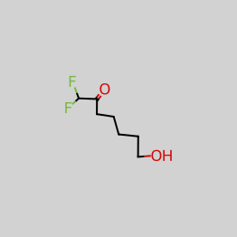 O=C(CCCCCO)C(F)F